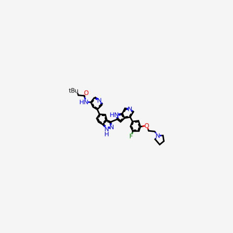 CC(C)(C)CC(=O)Nc1cncc(-c2ccc3[nH]nc(-c4cc5c(-c6cc(F)cc(OCCN7CCCC7)c6)cncc5[nH]4)c3c2)c1